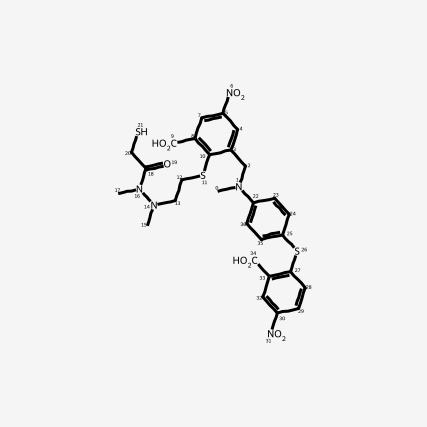 CN(Cc1cc([N+](=O)[O-])cc(C(=O)O)c1SCCN(C)N(C)C(=O)CS)c1ccc(Sc2ccc([N+](=O)[O-])cc2C(=O)O)cc1